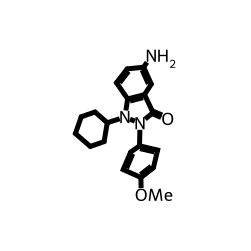 COc1ccc(-n2c(=O)c3cc(N)ccc3n2C2CCCCC2)cc1